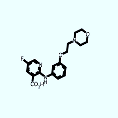 O=C(O)c1cc(F)cnc1Nc1cccc(OCCN2CCOCC2)c1